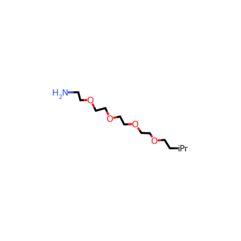 CC(C)CCOCCOCCOCCOCCN